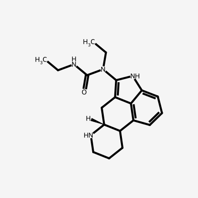 CCNC(=O)N(CC)c1[nH]c2cccc3c2c1C[C@H]1NCCCC31